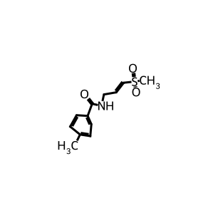 Cc1ccc(C(=O)NC/C=C/S(C)(=O)=O)cc1